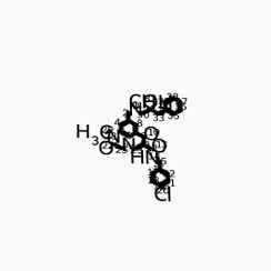 CN(Cc1cc2c3c(c1)c(=O)c(C(=O)NCc1ccc(Cl)cc1)cn3CC(=O)N2C)CC(O)Cc1ccccc1